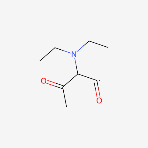 CCN(CC)C([C]=O)C(C)=O